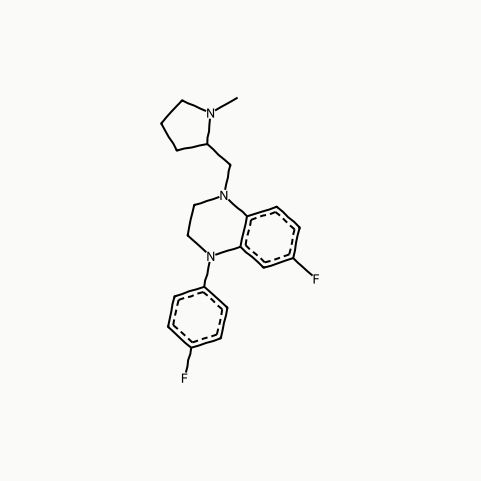 CN1CCCC1CN1CCN(c2ccc(F)cc2)c2cc(F)ccc21